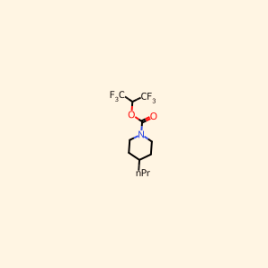 CCCC1CCN(C(=O)OC(C(F)(F)F)C(F)(F)F)CC1